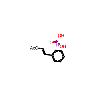 CC(=O)OC=Cc1ccccc1.O=[PH](O)O